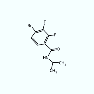 CC(C)NC(=O)c1ccc(Br)c(F)c1F